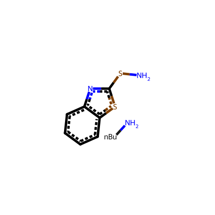 CCCCN.NSc1nc2ccccc2s1